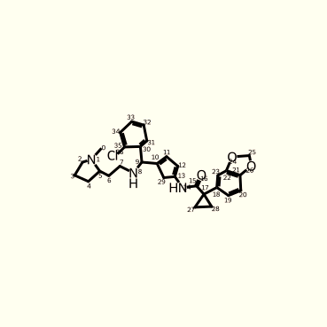 CN1CCCC1CCNC(C1=CC=C(NC(=O)C2(c3ccc4c(c3)OCO4)CC2)C1)c1ccccc1Cl